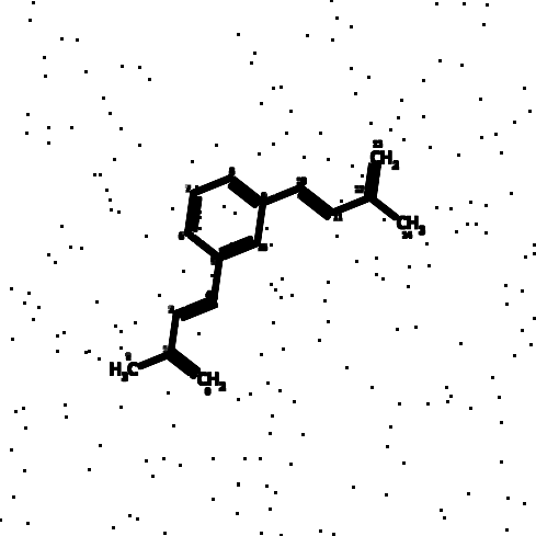 C=C(C)C=Cc1cccc(C=CC(=C)C)c1